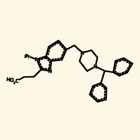 CC(C)n1c(CCC(=O)O)nc2cc(CN3CCN(C(c4ccccc4)c4ccccc4)CC3)ccc21